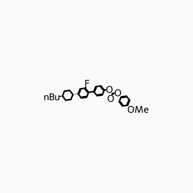 CCCC[C@H]1CC[C@H](c2ccc(-c3ccc(OC(=O)Oc4ccc(OC)cc4)cc3)c(F)c2)CC1